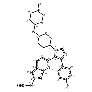 CN1CCC(CN2CCC(n3cnc(-c4ccc(F)cc4)c3-c3ccc4nc(NC=O)cn4n3)CC2)CC1